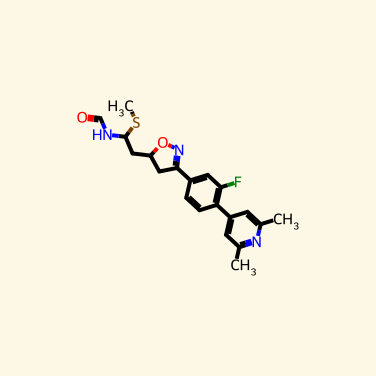 CSC(CC1CC(c2ccc(-c3cc(C)nc(C)c3)c(F)c2)=NO1)NC=O